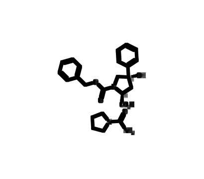 NC(=O)N1CCCC1.O=C(O)[C@@H]1C[C@](O)(c2ccccc2)CN1C(=O)OCc1ccccc1